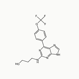 OCCCNc1nc(-c2ccc(OC(F)(F)F)cc2)c2nc[nH]c2n1